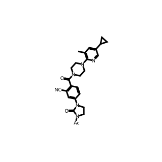 CC(=O)N1CCN(c2ccc(C(=O)N3CCN(c4ncc(C5CC5)cc4C)CC3)c(C#N)c2)C1=O